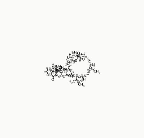 C=C1C[C@@H]2CCC34CC5O[C@H]6[C@@H](O3)[C@H]3OC(CC[C@@H]3O[C@H]6[C@H]5O4)CC(=O)C[C@H]3[C@H](CC4O[C@@H](CCC1O2)C[C@@H](C)C4=C)OC(C[C@@H](CN1C(=O)c2ccccc2C1=O)O[Si](C)(C)C(C)(C)C)[C@@H]3OC